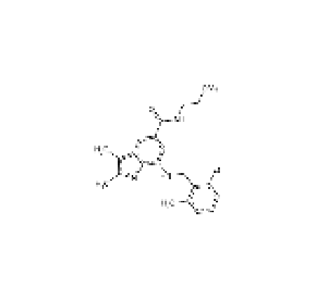 CCc1cccc(C)c1CNc1cc(C(=O)NCCOC)cn2c(C)c(C)nc12